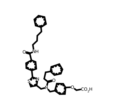 O=C(O)COc1ccc(CN(Cc2csc(-c3ccc(C(=O)NCCCCc4ccccc4)cc3)n2)C(=O)CCc2ccccc2)cc1